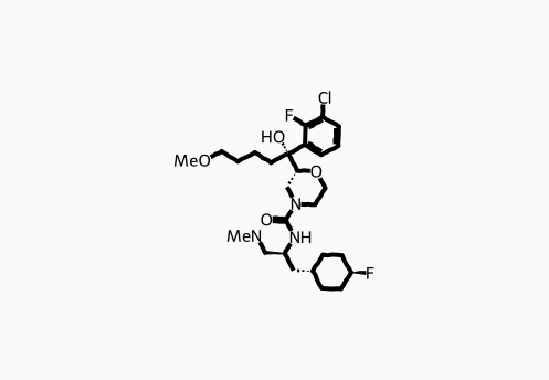 CNC[C@H](C[C@H]1CC[C@H](F)CC1)NC(=O)N1CCO[C@@H]([C@@](O)(CCCCOC)c2cccc(Cl)c2F)C1